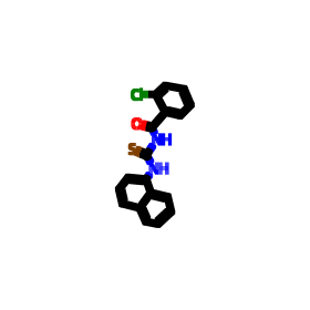 O=C(NC(=S)Nc1cccc2ccccc12)c1ccccc1Cl